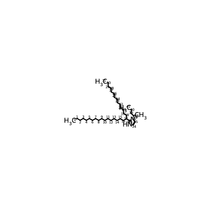 CCCCCCCCCCCCCCCCCC(CCCCCCCCCCCCCC)c1[nH]cc[n+]1C(C)CCC